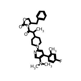 Cc1cc(F)ccc1-c1cc(N2CCC(C(C)C(=O)N3C(=O)OCC3Cc3ccccc3)CC2)ncc1N(C)C